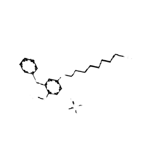 CCCCCCCCCCCCCCCCCCOc1ccc([I+]C)c(Cc2ccccc2)c1.F[B-](F)(F)F